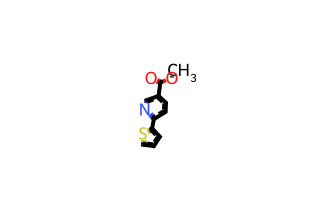 COC(=O)c1ccc(-c2cccs2)nc1